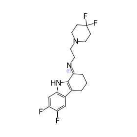 Fc1cc2[nH]c3c(c2cc1F)CCC/C3=N\CCN1CCC(F)(F)CC1